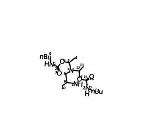 CCCCNC(=O)OC(C)N(CC(C)N)C(C)OC(=O)NCCCC